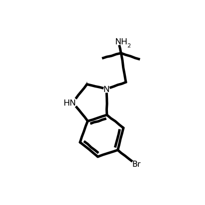 CC(C)(N)CN1[CH]Nc2ccc(Br)cc21